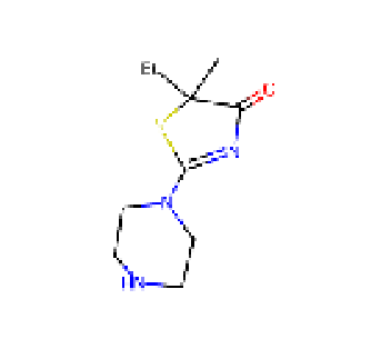 CCC1(C)SC(N2CCNCC2)=NC1=O